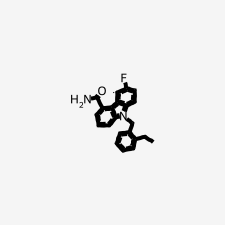 CCc1ccccc1Cn1c2ccc(F)[c]c2c2c(C(N)=O)cccc21